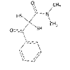 CN(C)C(=O)C(S)(S)C(=O)c1ccccc1